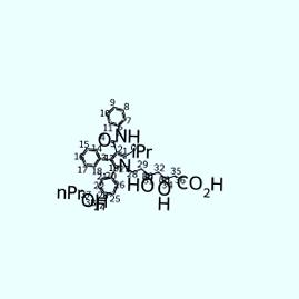 CC(C)c1c(C(=O)Nc2ccccc2)c(-c2ccccc2)c(-c2ccc(F)cc2)n1CC[C@@H](O)C[C@@H](O)CC(=O)O.CCCO